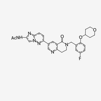 CC(=O)Nc1cn2nc(-c3cnc4c(c3)C(=O)N(Cc3cc(F)ccc3OC3CCOCC3)CC4)ccc2n1